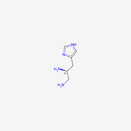 NC[C@@H](N)Cc1c[nH]cn1